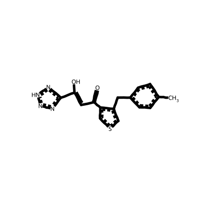 Cc1ccc(Cc2cscc2C(=O)C=C(O)c2nn[nH]n2)cc1